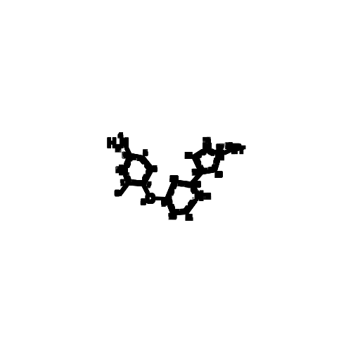 Cc1nc(N)ccc1Oc1ccnc(-c2cnn(C(C)C)c2)c1